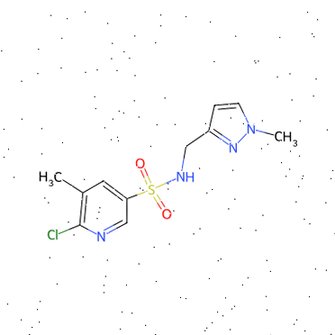 Cc1cc(S(=O)(=O)NCc2ccn(C)n2)cnc1Cl